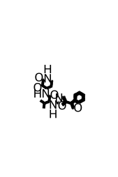 CC(C)C(Nc1ncc(-c2coc3ccccc23)o1)C(=O)NC1CCNC(=O)C1=O